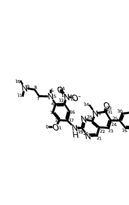 COc1cc(N(C)CCN(C)C)c([N+](=O)[O-])cc1Nc1ncc2cc(-c3ccncc3)c(=O)n(C)c2n1